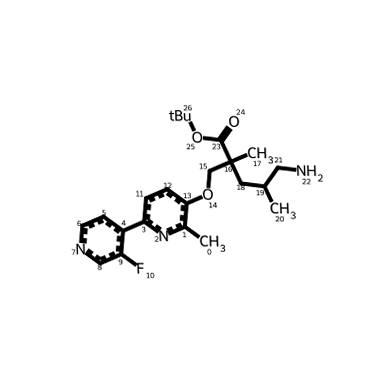 Cc1nc(-c2c[c]ncc2F)ccc1OCC(C)(CC(C)CN)C(=O)OC(C)(C)C